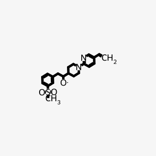 C=Cc1ccc(N2CCC(C([O])Cc3cccc(S(C)(=O)=O)c3)CC2)nc1